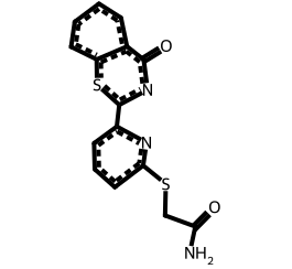 NC(=O)CSc1cccc(-c2nc(=O)c3ccccc3s2)n1